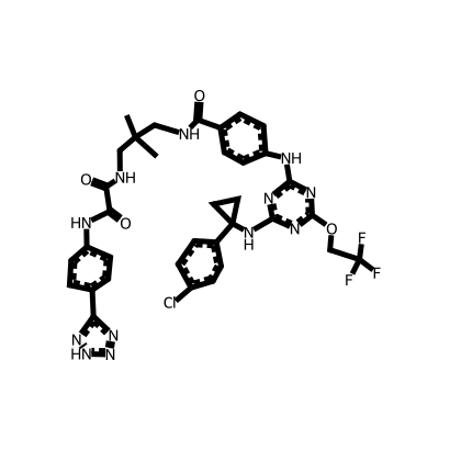 CC(C)(CNC(=O)C(=O)Nc1ccc(-c2nn[nH]n2)cc1)CNC(=O)c1ccc(Nc2nc(NC3(c4ccc(Cl)cc4)CC3)nc(OCC(F)(F)F)n2)cc1